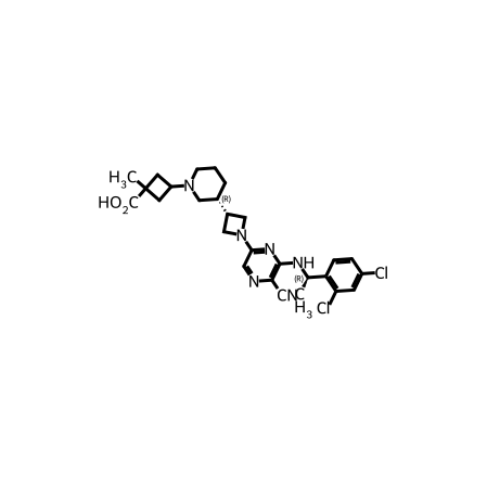 C[C@@H](Nc1nc(N2CC([C@H]3CCCN(C4CC(C)(C(=O)O)C4)C3)C2)cnc1C#N)c1ccc(Cl)cc1Cl